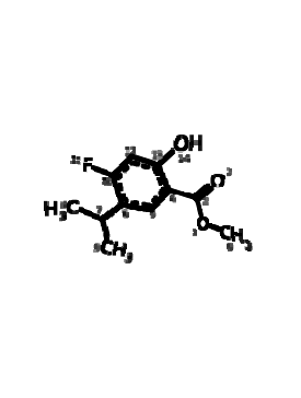 COC(=O)c1cc(C(C)C)c(F)cc1O